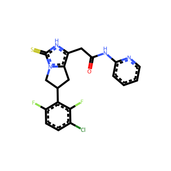 O=C(Cc1[nH]c(=S)n2c1CC(c1c(F)ccc(Cl)c1F)C2)Nc1ccccn1